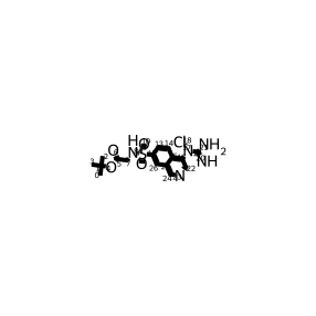 CC(C)(C)OC(=O)CNS(=O)(=O)c1ccc2c(N(Cl)C(=N)N)cncc2c1